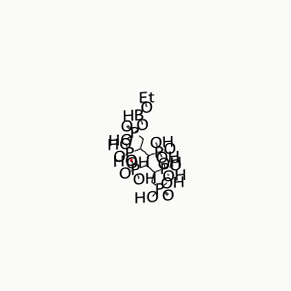 CCOBOP(=O)(O)CC(C(C(C(CP(=O)(O)O)P(=O)(O)O)P(=O)(O)O)P(=O)(O)O)P(=O)(O)O